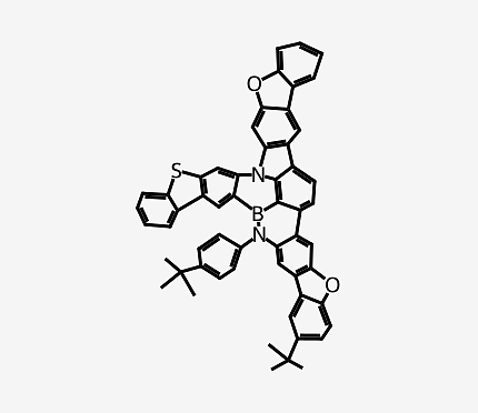 CC(C)(C)c1ccc(N2B3c4cc5c(cc4-n4c6cc7oc8ccccc8c7cc6c6ccc(c3c64)-c3cc4oc6ccc(C(C)(C)C)cc6c4cc32)sc2ccccc25)cc1